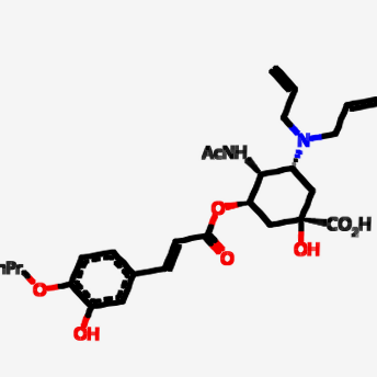 C=CCN(CC=C)[C@@H]1C[C@@](O)(C(=O)O)C[C@@H](OC(=O)/C=C/c2ccc(OCCC)c(O)c2)[C@H]1NC(C)=O